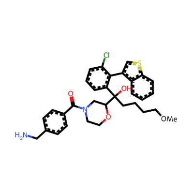 COCCCCC(O)(c1cccc(Cl)c1-c1csc2ccccc12)C1CN(C(=O)c2ccc(CN)cc2)CCO1